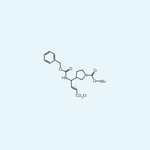 CCOC(=O)/C=C/C(NC(=O)OCc1ccccc1)C1CCN(C(=O)OC(C)(C)C)C1